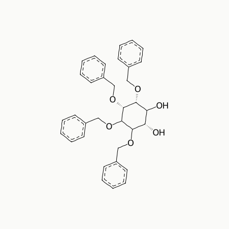 OC1[C@H](O)C(OCc2ccccc2)C(OCc2ccccc2)[C@H](OCc2ccccc2)[C@@H]1OCc1ccccc1